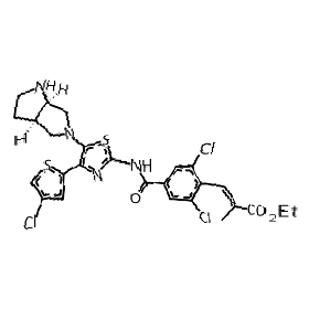 CCOC(=O)/C(C)=C/c1c(Cl)cc(C(=O)Nc2nc(-c3cc(Cl)cs3)c(N3C[C@H]4CCN[C@H]4C3)s2)cc1Cl